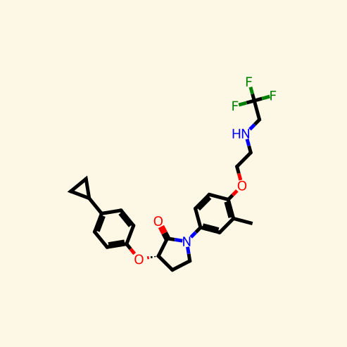 Cc1cc(N2CC[C@H](Oc3ccc(C4CC4)cc3)C2=O)ccc1OCCNCC(F)(F)F